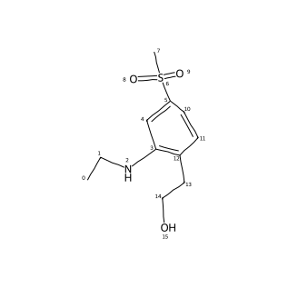 CCNc1cc(S(C)(=O)=O)ccc1CCO